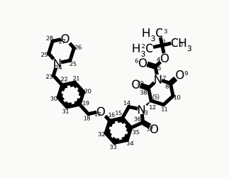 CC(C)(C)OC(=O)N1C(=O)CC[C@H](N2Cc3c(OCc4ccc(CN5CCOCC5)cc4)cccc3C2=O)C1=O